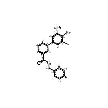 Cc1cc(-c2cccc(C(=O)OCc3ccccc3)c2)cc(C(C)C)c1F